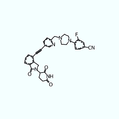 N#Cc1ccc(N2CCN(Cc3ccc(C#Cc4cccc5c4CN(C4CCC(=O)NC4=O)C5=O)cn3)CC2)c(F)c1